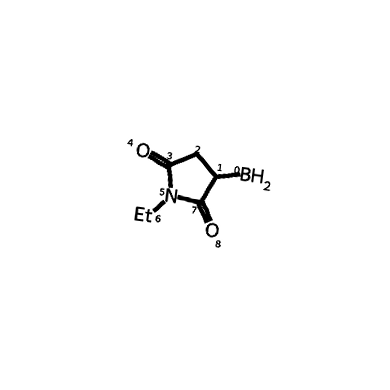 BC1CC(=O)N(CC)C1=O